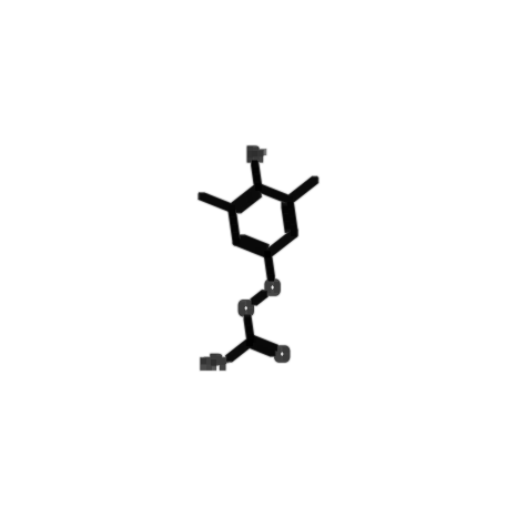 CCCC(=O)OOc1cc(C)c(Br)c(C)c1